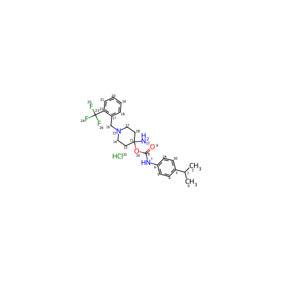 CC(C)c1ccc(NC(=O)OC2(N)CCN(Cc3ccccc3C(F)(F)F)CC2)cc1.Cl